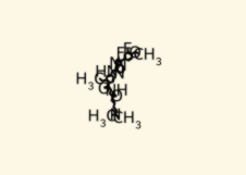 CCc1cc(Nc2nccn3c(-c4ccc(OC)c(F)c4F)cnc23)ccc1C(=O)NCC(=O)/C=C/CCN(C)C